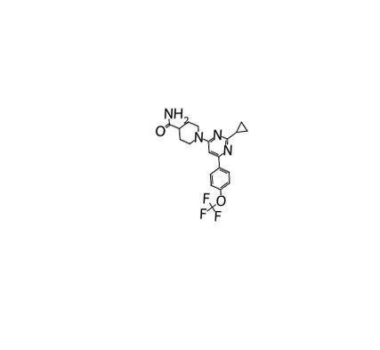 NC(=O)C1CCN(c2cc(-c3ccc(OC(F)(F)F)cc3)nc(C3CC3)n2)CC1